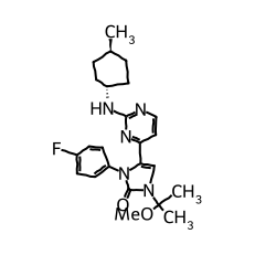 COC(C)(C)n1cc(-c2ccnc(N[C@H]3CC[C@H](C)CC3)n2)n(-c2ccc(F)cc2)c1=O